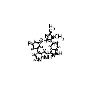 Cc1ncc(-c2cc3c(-c4cc5c(-c6cc(O)cc(F)c6)ccnc5[nH]4)n[nH]c3cn2)n1C